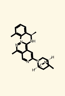 Cc1cccc([C@@H](C)Nc2nnc(C)c3cnc(N4C[C@H]5CC[C@@H]4CN5C)cc23)c1C